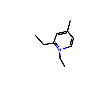 CCc1cc(C)cc[n+]1CC